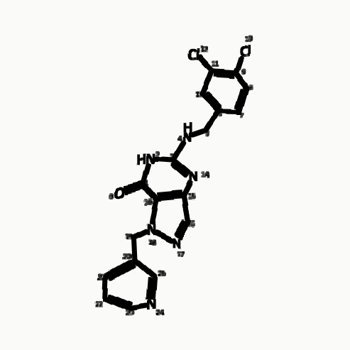 O=c1[nH]c(NCc2ccc(Cl)c(Cl)c2)nc2cnn(Cc3cccnc3)c12